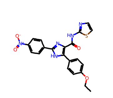 CCOc1ccc(-c2[nH]c(-c3ccc([N+](=O)[O-])cc3)nc2C(=O)Nc2nccs2)cc1